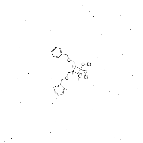 CCOC1(OCC)[C@@H](F)[C@@H](COCc2ccccc2)[C@@H]1COCc1ccccc1